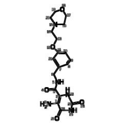 Nc1c(C(=O)NCc2cccc(OCCN3CCOCC3)c2)[nH]c(=O)[nH]c1=O